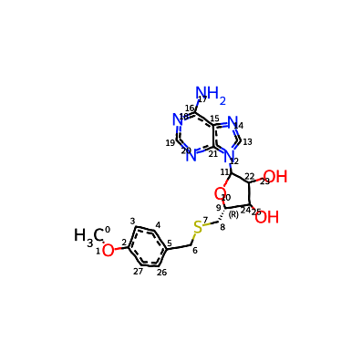 COc1ccc(CSC[C@@H]2OC(n3cnc4c(N)ncnc43)C(O)C2O)cc1